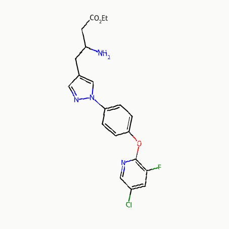 CCOC(=O)CC(N)Cc1cnn(-c2ccc(Oc3ncc(Cl)cc3F)cc2)c1